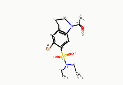 CCN(CC)S(=O)(=O)c1cc2c(cc1Br)CCN2C(C)=O